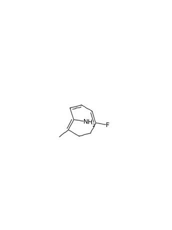 C\C1=C(N)/C=C\C=C(\F)CC1